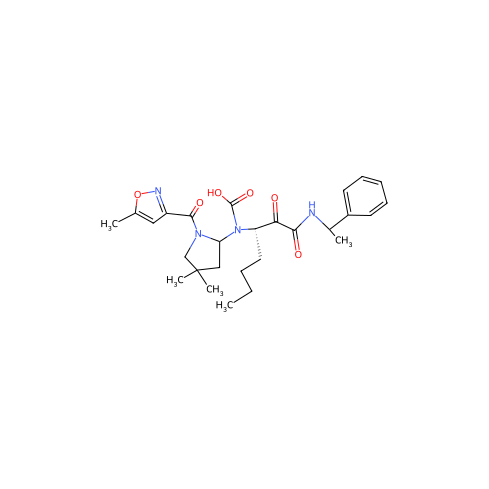 CCCC[C@@H](C(=O)C(=O)NC(C)c1ccccc1)N(C(=O)O)C1CC(C)(C)CN1C(=O)c1cc(C)on1